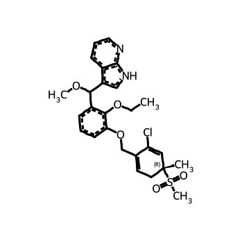 CCOc1c(OCC2=CC[C@@](C)(S(C)(=O)=O)C=C2Cl)cccc1C(OC)c1c[nH]c2ncccc12